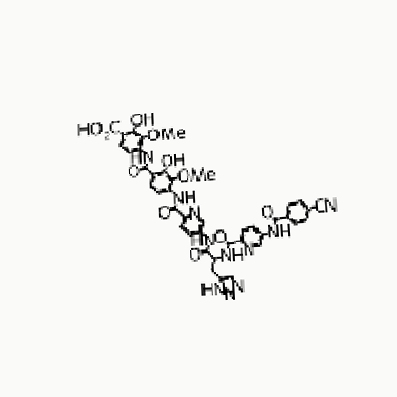 COc1c(NC(=O)c2ccc(NC(=O)c3ccc(NC(=O)C(Cc4cnn[nH]4)NC(=O)c4ccc(NC(=O)c5ccc(C#N)cc5)cn4)cn3)c(OC)c2O)ccc(C(=O)O)c1O